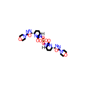 O=C1N2C[C@@H](CC[C@H]2c2nnc(N3CCOCC3)o2)N1OS(=O)(=O)ON1C(=O)N2C[C@H]1CC[C@H]2c1nnc(N2CCOCC2)o1